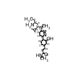 CC[C@H](N)C[C@H](C1CC1)N(C)c1ccc(-c2ccc(/C=C/C(=O)NC)cc2O)nn1